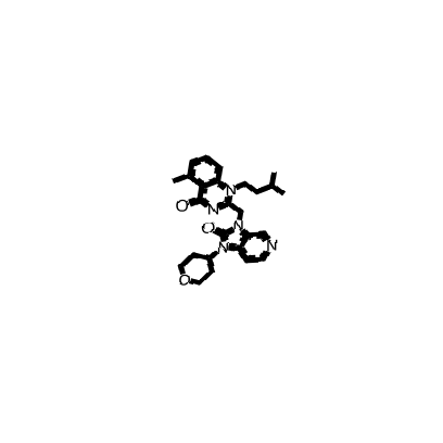 Cc1cccc2c1c(=O)nc(Cn1c(=O)n(C3CCOCC3)c3ccncc31)n2CCC(C)C